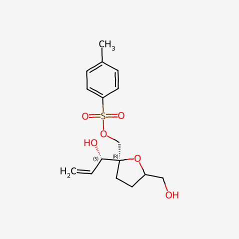 C=C[C@H](O)[C@]1(COS(=O)(=O)c2ccc(C)cc2)CCC(CO)O1